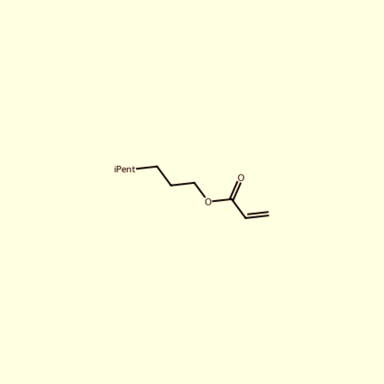 C=CC(=O)OCCCC(C)CCC